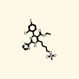 CCOC(=O)C1=C(CCCCOS(C)(=O)=O)NC(c2nccs2)=NC1c1ccc(F)cc1Cl